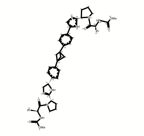 COC(=O)N[C@H](C(=O)N1CCC[C@H]1C1=NC[C@H](c2ccc(C34CC(c5ccc(-c6cnc([C@@H]7CCCN7C(=O)[C@@H](NC(=O)OC)C(C)C)[nH]6)cc5)(C3)C4)cc2)N1)C(C)C